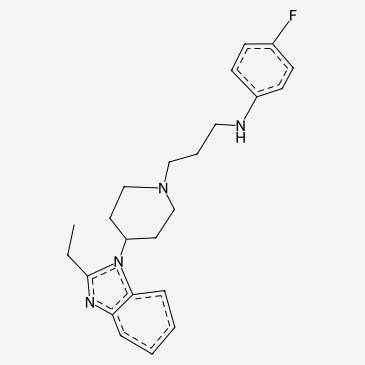 CCc1nc2ccccc2n1C1CCN(CCCNc2ccc(F)cc2)CC1